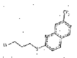 FC(F)(F)c1ccc2ccc(SCCCBr)nc2c1